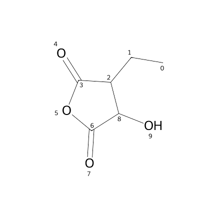 CCC1C(=O)OC(=O)C1O